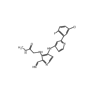 CNC(=O)CNc1c(Nc2ccnc(-c3cc(Cl)ccc3F)c2)ccnc1C=N